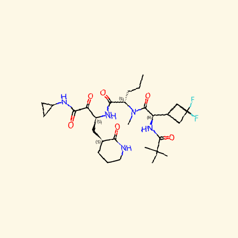 CCC[C@@H](C(=O)N[C@@H](C[C@@H]1CCCNC1=O)C(=O)C(=O)NC1CC1)N(C)C(=O)[C@H](NC(=O)C(C)(C)C)C1CC(F)(F)C1